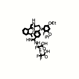 CCOc1cc(OC(C)C)c(F)c(N(Cc2nc(-c3ccccc3C(C)O)c[nH]2)c2ccc(C(=N)N)cc2)c1.O=C(O)C(F)(F)F.O=C(O)C(F)(F)F